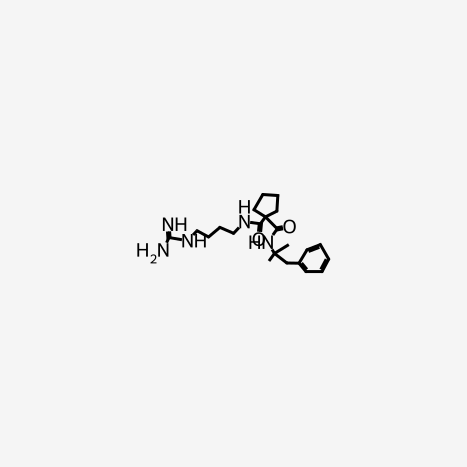 CC(C)(Cc1ccccc1)NC(=O)C1(C(=O)NCCCCNC(=N)N)CCCC1